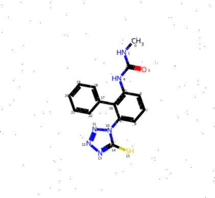 CNC(=O)Nc1cccc(-n2nnnc2S)c1-c1ccccc1